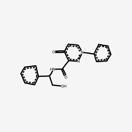 O=C(NC(CO)c1ccccc1)c1nn(-c2ccccc2)ccc1=O